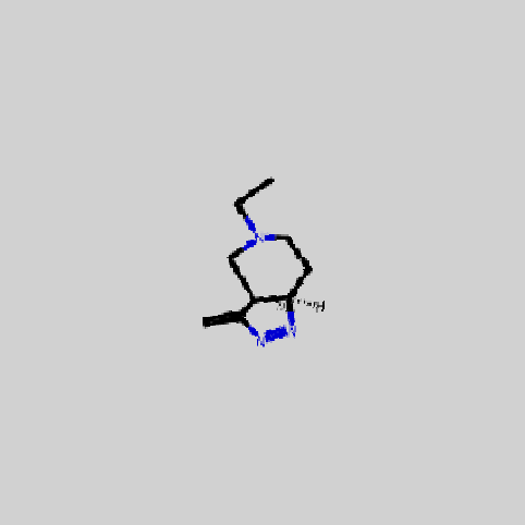 C=C1N=N[C@@H]2CCN(CC)CC12